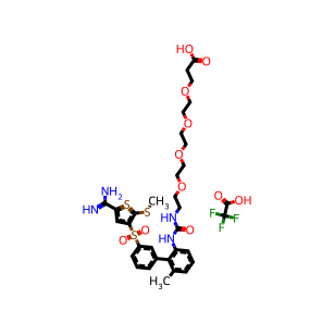 CSc1sc(C(=N)N)cc1S(=O)(=O)c1cccc(-c2c(C)cccc2NC(=O)NCCOCCOCCOCCOCCC(=O)O)c1.O=C(O)C(F)(F)F